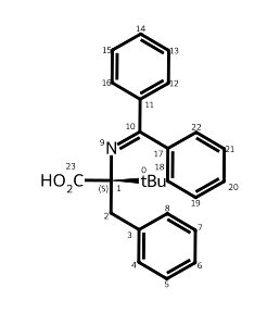 CC(C)(C)[C@](Cc1ccccc1)(N=C(c1ccccc1)c1ccccc1)C(=O)O